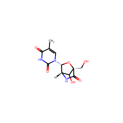 Cc1cn([C@@H]2O[C@@]3(CO)C(=O)N[C@H]2C3O)c(=O)[nH]c1=O